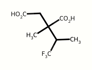 CC(C(F)(F)F)C(C)(CC(=O)O)C(=O)O